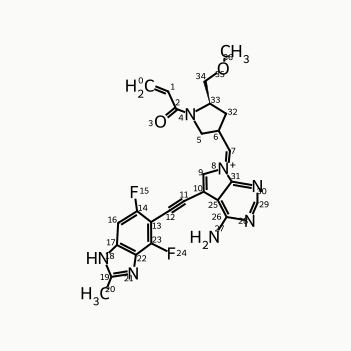 C=CC(=O)N1CC(/C=[N+]2\C=C(C#Cc3c(F)cc4[nH]c(C)nc4c3F)c3c(N)ncnc32)C[C@@H]1COC